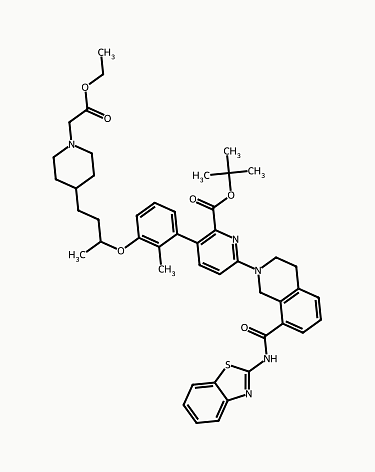 CCOC(=O)CN1CCC(CCC(C)Oc2cccc(-c3ccc(N4CCc5cccc(C(=O)Nc6nc7ccccc7s6)c5C4)nc3C(=O)OC(C)(C)C)c2C)CC1